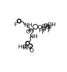 O=C(CCNCCc1cccc(F)c1)N(CCNCCc1ccc(O)c2[nH]c(=O)ccc12)C1CCCCCC1.O=C(O)C(F)(F)F.O=C(O)C(F)(F)F